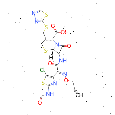 C#CCON=C(C(=O)NC1C(=O)N2C(C(=O)O)=C(CSc3nncs3)CS[C@@H]12)c1nc(NC=O)sc1Cl